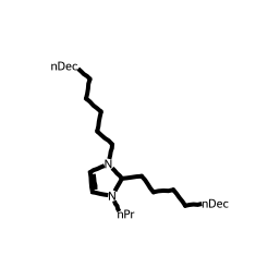 CCCCCCCCCCCCCCCN1C=CN(CCC)C1CCCCCCCCCCCCCC